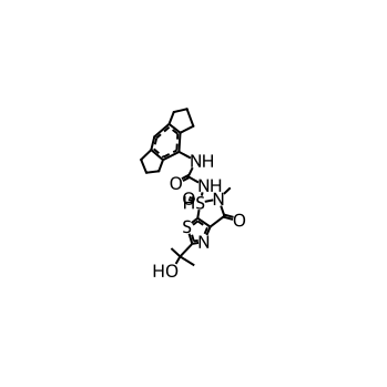 CN1C(=O)c2nc(C(C)(C)O)sc2[SH]1(=O)NC(=O)Nc1c2c(cc3c1CCC3)CCC2